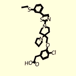 CCSc1cccc(-c2cnc(N3CCC(CCOc4cc(CC(=O)O)ccc4Cl)(N4CCCC4)CC3)s2)c1